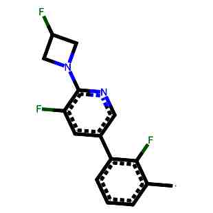 [CH2]c1cccc(-c2cnc(N3CC(F)C3)c(F)c2)c1F